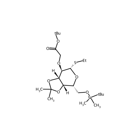 CCS[C@@H]1O[C@H](CO[Si](C)(C)C(C)(C)C)[C@@H]2OC(C)(C)O[C@@H]2[C@H]1OCC(=O)OC(C)(C)C